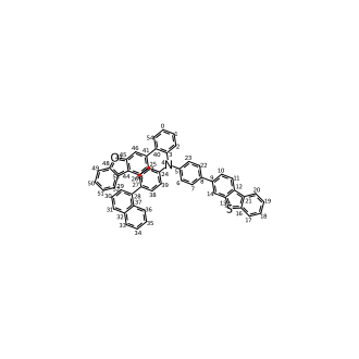 c1ccc(N(c2ccc(-c3ccc4c(c3)sc3ccccc34)cc2)c2ccc(-c3cccc4ccccc34)cc2)c(-c2ccc3c(c2)oc2ccccc23)c1